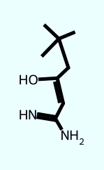 CC(C)(C)C/C(O)=C/C(=N)N